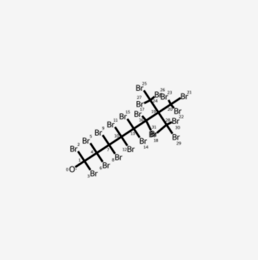 [O]C(Br)(Br)C(Br)(Br)C(Br)(Br)C(Br)(Br)C(Br)(Br)C(Br)(Br)C(C(Br)(Br)Br)(C(Br)(Br)Br)C(Br)(Br)Br